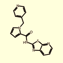 O=C(Nc1nc2cccnc2s1)c1cccn1Cc1ccncc1